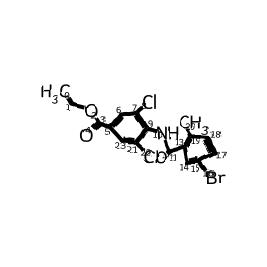 CCOC(=O)c1cc(Cl)c(NC(=O)c2cc(Br)ccc2C)c(Cl)c1